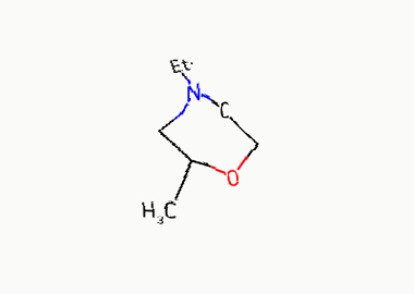 C[CH]N1CCOC(C)C1